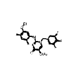 CCOc1cc(Nc2nc(=O)c(OC)cn2Cc2cc(F)c(F)c(F)c2)c(C)cc1C